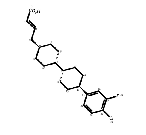 O=C(O)/C=C/C[C@H]1CC[C@H]([C@H]2CC[C@H](c3ccc(Cl)c(F)c3)CC2)CC1